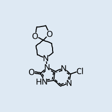 O=c1[nH]c2cnc(Cl)nc2n1N1CCC2(CC1)OCCO2